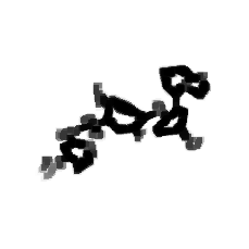 O=S(=O)(Nc1cc(C(F)(F)F)ccn1)c1cc(F)c(Oc2ccc(Cl)cc2-c2cccc3nccn23)cc1F